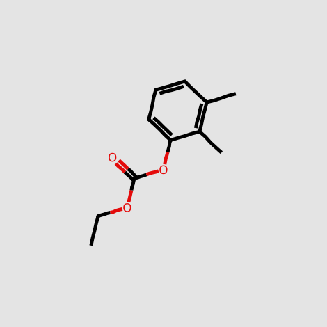 CCOC(=O)Oc1cccc(C)c1C